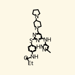 CCC(=O)Nc1ccc(Sc2nc(Nc3cc(C)n[nH]3)cc(N3CCC(N4CCCC4)CC3)n2)cc1